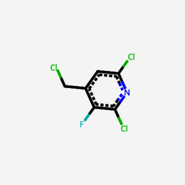 Fc1c(CCl)cc(Cl)nc1Cl